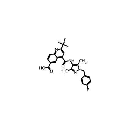 Cc1nn(Cc2ccc(F)cc2)c(C)c1NC(=O)c1cc(C(F)(F)F)nc2ccc(C(=O)O)cc12